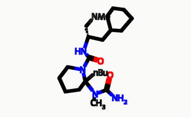 CCCCC1(N(C)C(N)=O)CCCCN1C(=O)N[C@H](CNC)CC1CCCCC1